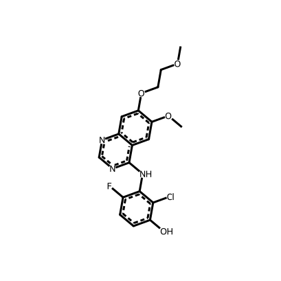 COCCOc1cc2ncnc(Nc3c(F)ccc(O)c3Cl)c2cc1OC